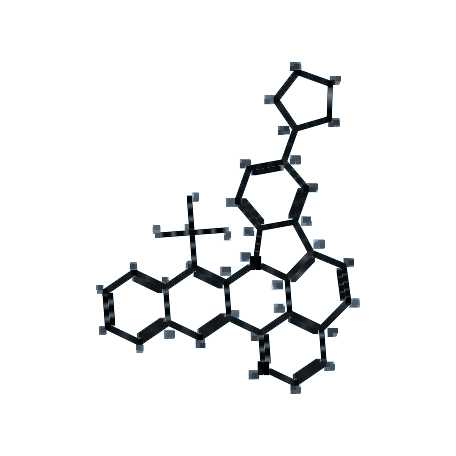 CC(C)(C)c1c2ccccc2cc2c3nccc4ccc5c6cc(C7CCCC7)ccc6n(c12)c5c43